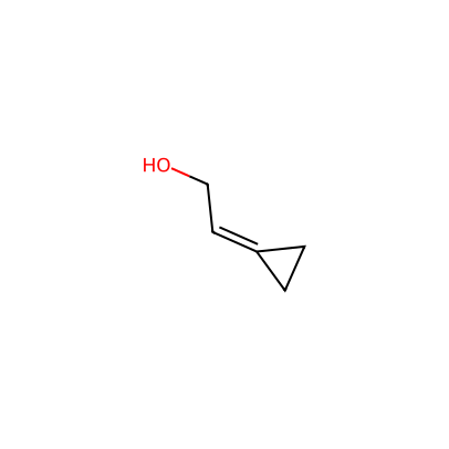 OCC=C1CC1